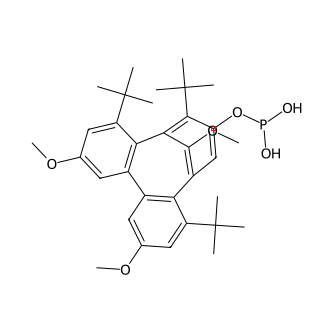 COc1cc2c(c(C(C)(C)C)c1)-c1cc(OP(O)O)c(C(C)(C)C)c(c1OC)-c1c-2cc(OC)cc1C(C)(C)C